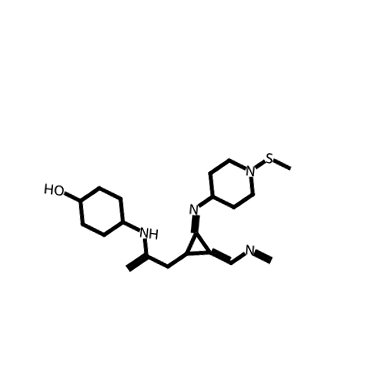 C=N/C=C1\C(=N/C2CCN(SC)CC2)C1CC(=C)NC1CCC(O)CC1